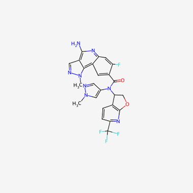 Cn1cc(N(C(=O)c2cc3c(cc2F)nc(N)c2cnn(C)c23)C2COc3nc(C(F)(F)F)ccc32)cn1